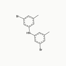 Cc1cc(Br)cc(Nc2cc(C)cc(Br)c2)c1